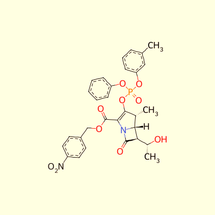 Cc1cccc(OP(=O)(OC2=C(C(=O)OCc3ccc([N+](=O)[O-])cc3)N3C(=O)[C@H]([C@@H](C)O)[C@H]3[C@H]2C)Oc2ccccc2)c1